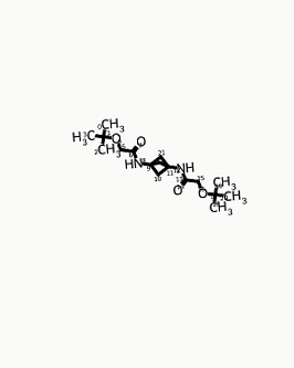 CC(C)(C)OCC(=O)NC12CC(NC(=O)COC(C)(C)C)(C1)C2